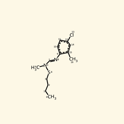 CCCCSN(C)C=Nc1ccc(Cl)cc1C